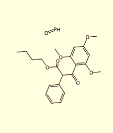 CCCCOC(=O)C(C(=O)c1c(OC)cc(OC)cc1OC)c1ccccc1.O=P